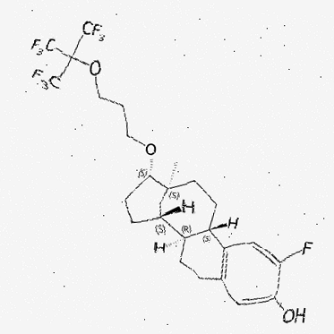 C[C@]12CC[C@@H]3c4cc(F)c(O)cc4CC[C@H]3[C@@H]1CC[C@@H]2OCCCOC(C(F)(F)F)(C(F)(F)F)C(F)(F)F